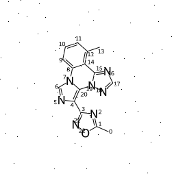 Cc1nc(-c2ncn3c4cccc(C)c4c4ncnn4c23)no1